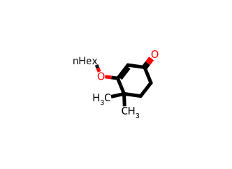 CCCCCCOC1=CC(=O)CCC1(C)C